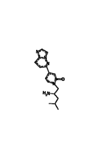 CC(C)CC(N)Cn1ccc(-c2ccc3nccn3n2)cc1=O